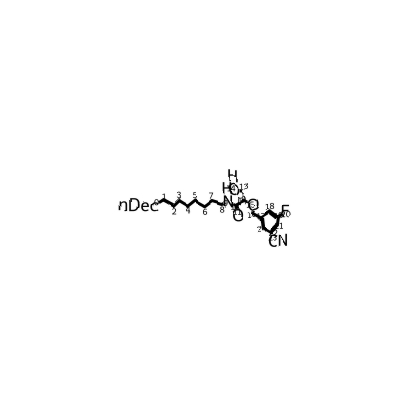 CCCCCCCCCCCCCCCCCCNC(=O)[C@H](CO)OCc1cc(F)cc(C#N)c1